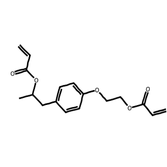 C=CC(=O)OCCOc1ccc(C[C](C)OC(=O)C=C)cc1